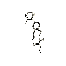 C=N/C=c1/cc(-c2nccnc2C)cc/c1=C/CNC(=O)CCC